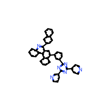 c1cncc(-c2nc(-c3ccncc3)nc(-c3cccc(-c4cc5c(-c6ccc7ccccc7c6)nc6ccccc6c5c5ccccc45)c3)n2)c1